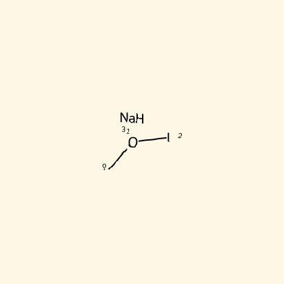 [CH2]OI.[NaH]